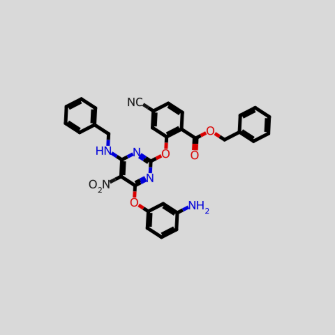 N#Cc1ccc(C(=O)OCc2ccccc2)c(Oc2nc(NCc3ccccc3)c([N+](=O)[O-])c(Oc3cccc(N)c3)n2)c1